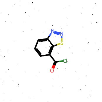 O=C(Cl)c1cccc2nnsc12